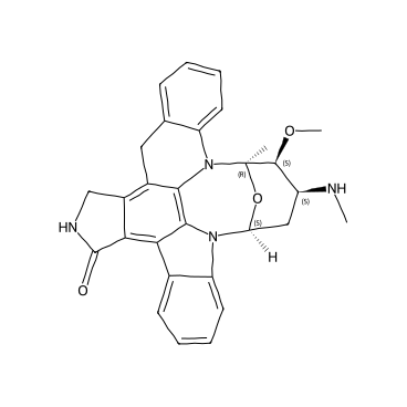 CN[C@H]1C[C@@H]2O[C@](C)([C@H]1OC)N1c3ccccc3Cc3c4c(c5c6ccccc6n2c5c31)C(=O)NC4